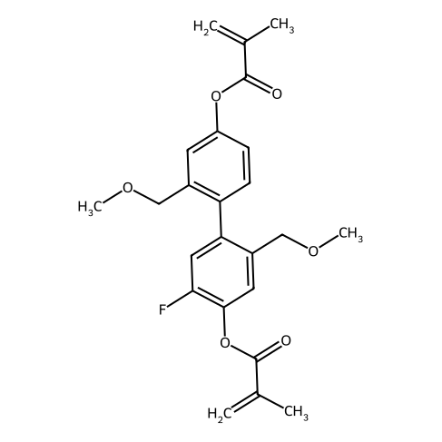 C=C(C)C(=O)Oc1ccc(-c2cc(F)c(OC(=O)C(=C)C)cc2COC)c(COC)c1